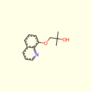 CC(C)(O)COc1cccc2cccnc12